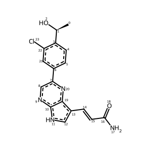 C[C@H](O)c1ccc(-c2cnc3[nH]cc(C=CC(N)=O)c3n2)cc1Cl